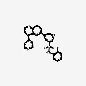 O=S(=O)(Nc1ccccc1Cl)c1cncc(-c2ccc3nccc(-c4ccncc4)c3c2)c1